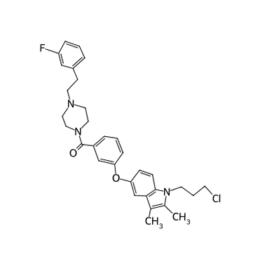 Cc1c(C)n(CCCCl)c2ccc(Oc3cccc(C(=O)N4CCN(CCc5cccc(F)c5)CC4)c3)cc12